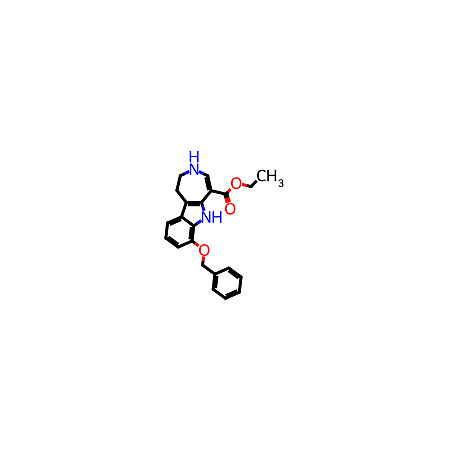 CCOC(=O)C1=CNCCc2c1[nH]c1c(OCc3ccccc3)cccc21